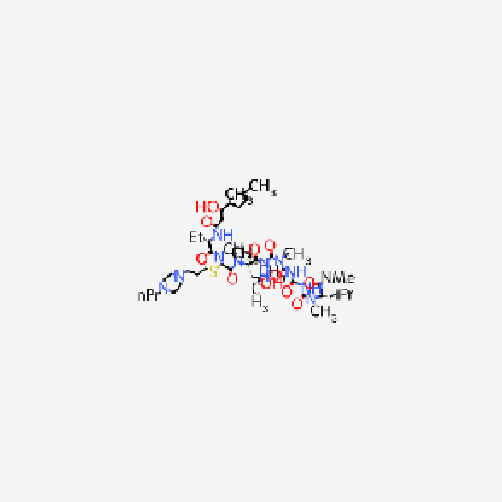 C/C=C/C[C@@H](C)[C@@H](O)CC(=O)N[C@@H](CC)C(=O)N(C)[C@H](SCCCN1CCN(CCC)CC1)C(=O)N(C)[C@@H](CC(C)(C)O)C(=O)NC(=O)N(C)C(=O)NC(=O)NC(=O)N(C)[C@@H](CC(C)C)C(=O)NC